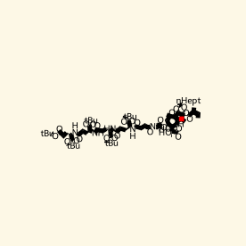 C/C=C(/C)C(=O)O[C@H]1C(C)=C2[C@H]([C@@H]1OC(=O)CCCCCCC)[C@@](C)(OC(C)=O)C[C@H](OC(=O)CNC(=O)CCC(=O)N[C@@H](CCC(=O)N[C@@H](CCC(=O)N[C@@H](CCC(=O)N[C@@H](CCC(=O)OC(C)(C)C)C(=O)OC(C)(C)C)C(=O)OC(C)(C)C)C(=O)OC(C)(C)C)C(=O)OC(C)(C)C)[C@@]1(O)[C@H]2OC(=O)[C@@]1(C)O